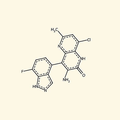 Cc1cc(Cl)c2[nH]c(=O)c(N)c(-c3ccc(F)c4[nH]ncc34)c2n1